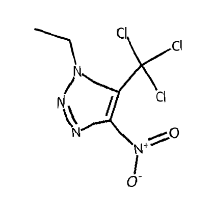 CCn1nnc([N+](=O)[O-])c1C(Cl)(Cl)Cl